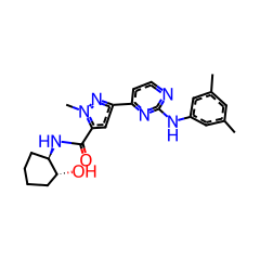 Cc1cc(C)cc(Nc2nccc(-c3cc(C(=O)N[C@@H]4CCCC[C@H]4O)n(C)n3)n2)c1